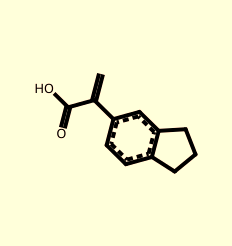 C=C(C(=O)O)c1ccc2c(c1)CCC2